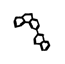 [c]1c(-c2ccc3ccc4ccccc4c3c2)ccc2ccccc12